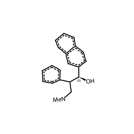 CNCC(c1ccccc1)[C@H](O)c1ccc2ccccc2c1